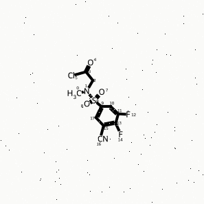 CN(CC(=O)Cl)S(=O)(=O)c1cc(F)c(F)c(C#N)c1